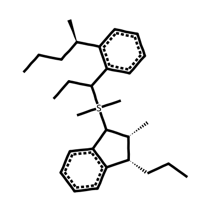 CCC[C@@H](C)c1ccccc1C(CC)S(C)(C)C1c2ccccc2[C@@H](CCC)[C@H]1C